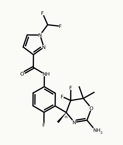 CC1(C)OC(N)=N[C@](C)(c2cc(NC(=O)c3ccn(C(F)F)n3)ccc2F)C1(F)F